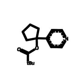 CC(C)(C)C(=O)OC1(c2ccncc2)CCCC1